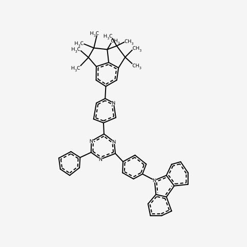 CC1(C)c2cc(-c3ccc(-c4nc(-c5ccccc5)nc(-c5ccc(-n6c7ccccc7c7ccccc76)cc5)n4)cn3)cc3c2C(C)(C1(C)C)C(C)(C)C3(C)C